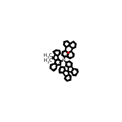 CC1(C)c2ccccc2-c2c(N(c3ccc(-c4cccc5cccc(-c6ccccc6)c45)cc3)c3ccc4c(c3)C3(c5ccccc5-c5ccccc53)c3ccccc3-4)cc3ccccc3c21